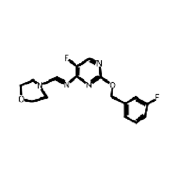 Fc1cccc(COc2ncc(F)c(/N=C/N3CCOCC3)n2)c1